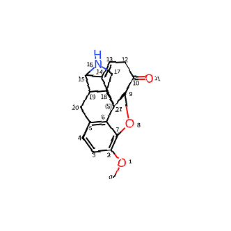 COc1ccc2c3c1OC1C(=O)CC=C4C5NCC(C5C2)[C@]431